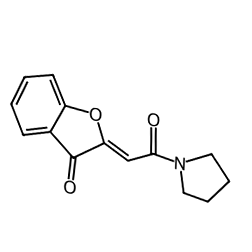 O=C1/C(=C/C(=O)N2CCCC2)Oc2ccccc21